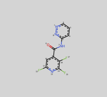 O=C(Nc1cccnn1)c1cc(F)nc(F)c1F